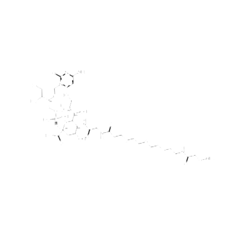 NOCC(=O)NCCOCCOCCOCCC(=O)NCC(=O)N[C@@H]1C(O)C[C@@](O[PH](O)(O)OC[C@@H](OCn2ccc(N)nc2=O)C(O)CO)(C(=O)O)OC1[C@H](O)[C@H](O)CO